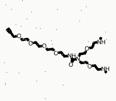 C#CCOCCOCCOCCOCCNC(=O)N(CCOCCNC)CCOCCNC